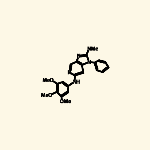 CNc1nc2cnc(Nc3cc(OC)c(OC)c(OC)c3)cc2n1-c1ccccc1